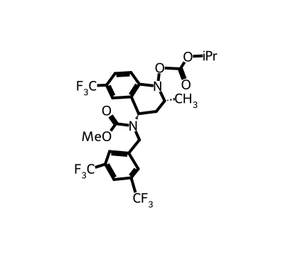 COC(=O)N(Cc1cc(C(F)(F)F)cc(C(F)(F)F)c1)[C@H]1C[C@@H](C)N(OC(=O)OC(C)C)c2ccc(C(F)(F)F)cc21